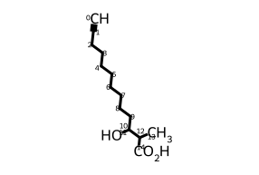 C#CCCCCCCCCC(O)C(C)C(=O)O